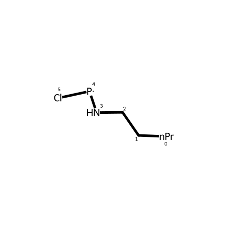 CCCCCN[P]Cl